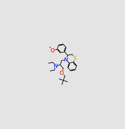 CCN(CC)C(COCC(C)(C)C)CN1c2ccccc2SCC1c1cccc(OC)c1